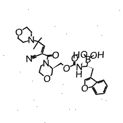 CC(C)(C=C(C#N)C(=O)N1CCOC[C@@H]1COC(=O)N[C@@H](Cc1coc2ccccc12)B(O)O)N1CCOCC1